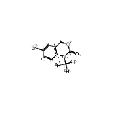 [2H]C([2H])([2H])N1C(=O)OCc2cc(Br)ccc21